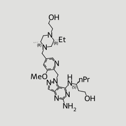 CCC[C@@H](CCO)Nc1nc(N)nc2cnn(Cc3ncc(CN4C[C@@H](CC)N(CCO)C[C@H]4C)cc3OC)c12